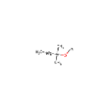 [CH3][Mg][Si](C)(C)OC(C)C